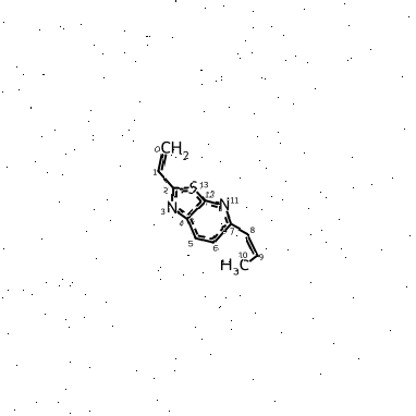 C=Cc1nc2ccc(/C=C\C)nc2s1